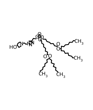 CCCCCCCCC(CCCCCCCC)OC(=O)CCCCCCCOP(=O)(OCCCCCCCC(=O)OC(CCCCCCCC)CCCCCCCC)OCCc1cn(CCN2CCC(O)CC2)nn1